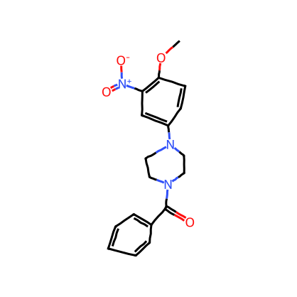 COc1ccc(N2CCN(C(=O)c3ccccc3)CC2)cc1[N+](=O)[O-]